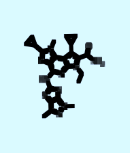 CCn1c(C(N)=O)c(C2CC2)c2c3c(nc(C4CC4)n3C)c(Nc3nc4c(s3)c(C)nn4C)nc21